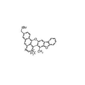 Cc1c2c(cc3c1oc1ccccc13)Oc1c3ccc(CC(C)(C)C)cc3cc3nc[n+](C)c-2c13